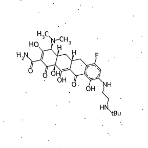 CN(C)[C@@H]1C(O)=C(C(N)=O)C(=O)[C@@]2(O)C(O)=C3C(=O)c4c(O)c(NCCNC(C)(C)C)cc(F)c4C[C@H]3C[C@@H]12